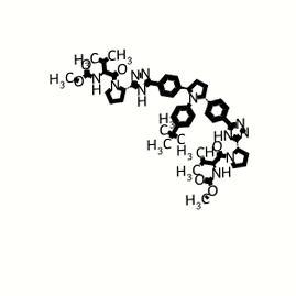 COC(=O)N[C@H](C(=O)N1CCC[C@H]1c1nnc(-c2ccc([C@H]3CC[C@H](c4ccc(-c5nnc([C@@H]6CCCN6C(=O)[C@@H](NC(=O)OC)C(C)C)[nH]5)cc4)N3c3ccc(C(C)(C)C)cc3)cc2)[nH]1)C(C)C